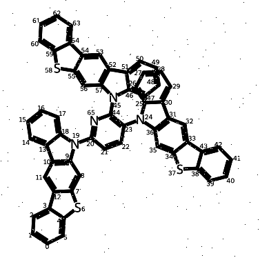 c1ccc2c(c1)sc1cc3c(cc12)c1ccccc1n3-c1ccc(-n2c3ccccc3c3cc4c(cc32)sc2ccccc24)c(-n2c3ccccc3c3cc4c(cc32)sc2ccccc24)n1